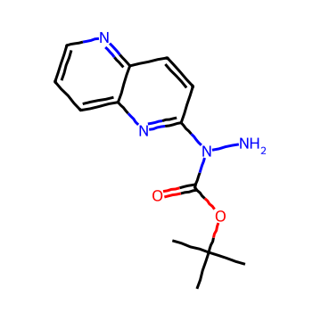 CC(C)(C)OC(=O)N(N)c1ccc2ncccc2n1